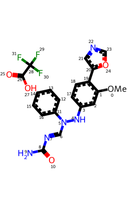 COc1cc(NN(C=NC(N)=O)c2ccccc2)ccc1-c1cnco1.O=C(O)C(F)(F)F